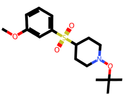 COc1cccc(S(=O)(=O)C2CCN(OC(C)(C)C)CC2)c1